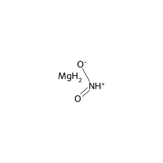 O=[NH+][O-].[MgH2]